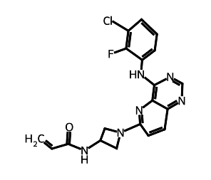 C=CC(=O)NC1CN(c2ccc3ncnc(Nc4cccc(Cl)c4F)c3n2)C1